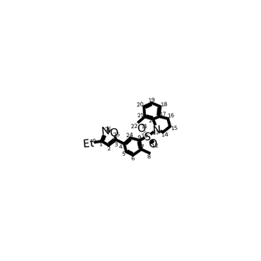 CCc1cc(-c2ccc(C)c(S(=O)(=O)N3CCCc4cccc(C)c43)c2)on1